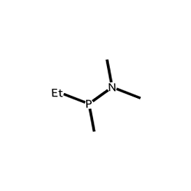 CCP(C)N(C)C